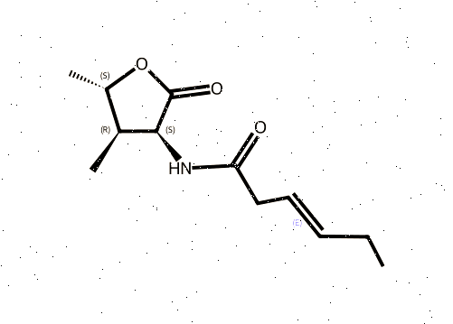 CC/C=C/CC(=O)N[C@@H]1C(=O)O[C@@H](C)[C@@H]1C